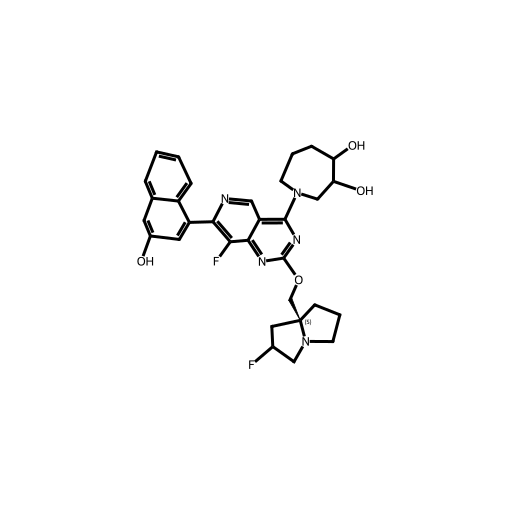 Oc1cc(-c2ncc3c(N4CCCC(O)C(O)C4)nc(OC[C@@]45CCCN4CC(F)C5)nc3c2F)c2ccccc2c1